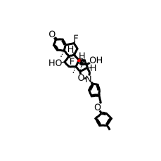 Cc1ccc(OCc2ccc(N3C[C@@H]4C[C@H]5[C@@H]6C[C@H](F)C7=CC(=O)C=C[C@]7(C)[C@@]6(F)[C@@H](O)C[C@]5(C)[C@]4(C(=O)CO)O3)cc2)cc1